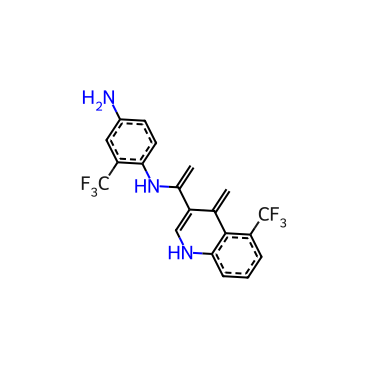 C=C(Nc1ccc(N)cc1C(F)(F)F)C1=CNc2cccc(C(F)(F)F)c2C1=C